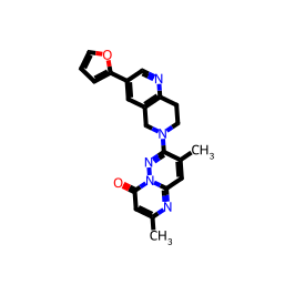 Cc1cc(=O)n2nc(N3CCc4ncc(-c5ccco5)cc4C3)c(C)cc2n1